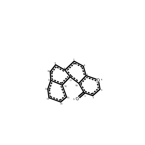 O=c1ccoc2ccc3ccc4ccccc4c3c12